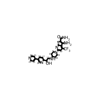 NC(=O)c1sc2nc(N3CCC(NCC(O)c4ccc(-c5ccncc5)cn4)CC3)cc(C(F)(F)F)c2c1N